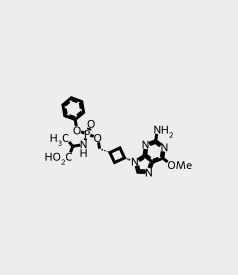 COc1nc(N)nc2c1ncn2[C@H]1C[C@@H](COP(=O)(NC(C)C(=O)O)Oc2ccccc2)C1